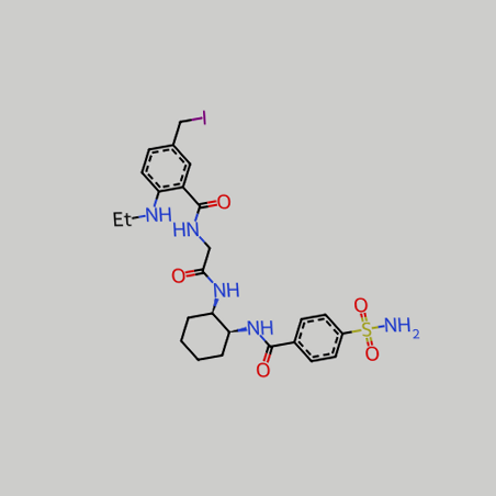 CCNc1ccc(CI)cc1C(=O)NCC(=O)N[C@@H]1CCCC[C@@H]1NC(=O)c1ccc(S(N)(=O)=O)cc1